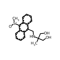 C[S+]([O-])c1c2ccccc2c(CNC(C)(CO)CO)c2ccccc12